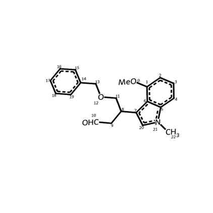 COc1cccc2c1c(C(CC=O)COCc1ccccc1)cn2C